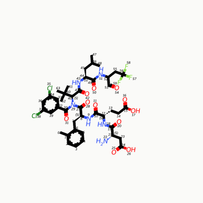 Cc1ccccc1C[C@H](NC(=O)[C@H](CCC(=O)O)NC(=O)[C@@H](N)CC(=O)O)C(=O)N(C(=O)c1cc(Cl)cc(Cl)c1)[C@H](C(=O)N[C@@H](CC(C)C)C(=O)NC(C=O)CC(F)(F)F)C(C)(C)C